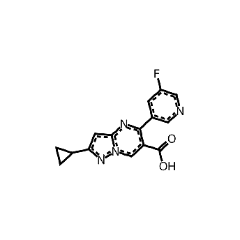 O=C(O)c1cn2nc(C3CC3)cc2nc1-c1cncc(F)c1